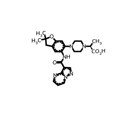 C[C@@H](C(=O)O)N1CCN(c2cc3c(cc2NC(=O)c2cnn4cccnc24)CC(C)(C)O3)CC1